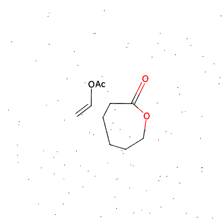 C=COC(C)=O.O=C1CCCCCO1